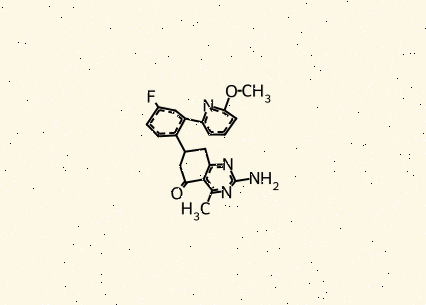 COc1cccc(-c2cc(F)ccc2C2CC(=O)c3c(C)nc(N)nc3C2)n1